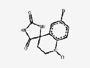 O=C1NC(=O)C2(CC[S+]([O-])c3ccc(Br)cc32)N1